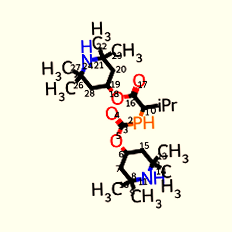 CC(C)C(PC(=O)OC1CC(C)(C)NC(C)(C)C1)C(=O)OC1CC(C)(C)NC(C)(C)C1